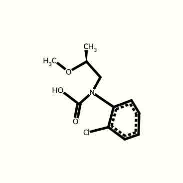 CO[C@@H](C)CN(C(=O)O)c1ccccc1Cl